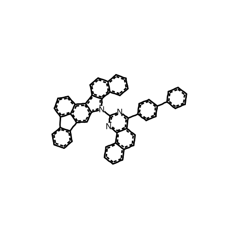 c1ccc(-c2ccc(-c3nc(-n4c5cc6c7c(cccc7c5c5ccc7ccccc7c54)-c4ccccc4-6)nc4c3ccc3ccccc34)cc2)cc1